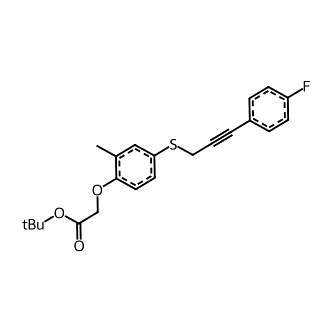 Cc1cc(SCC#Cc2ccc(F)cc2)ccc1OCC(=O)OC(C)(C)C